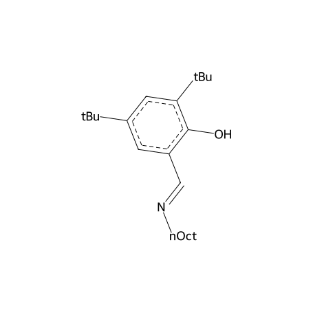 CCCCCCCCN=Cc1cc(C(C)(C)C)cc(C(C)(C)C)c1O